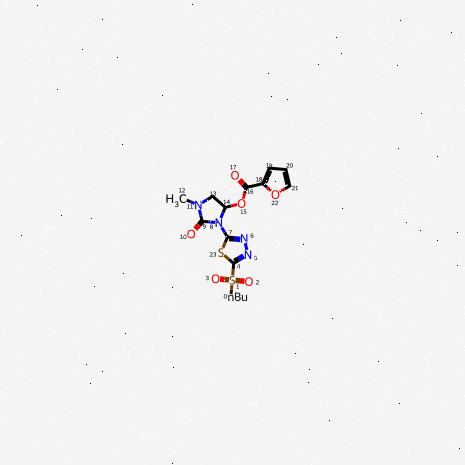 CCCCS(=O)(=O)c1nnc(N2C(=O)N(C)CC2OC(=O)c2ccco2)s1